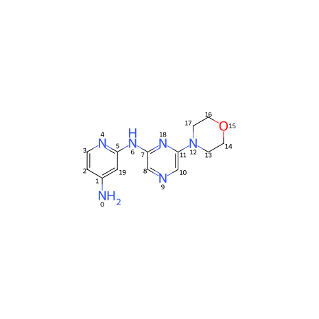 Nc1ccnc(Nc2cncc(N3CCOCC3)n2)c1